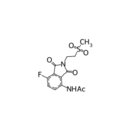 CC(=O)Nc1ccc(F)c2c1C(=O)N(CCS(C)(=O)=O)C2=O